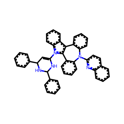 C1=C(n2c3c(c4ccccc42)-c2ccccc2N(c2ccc4ccccc4n2)c2ccccc2-3)NC(c2ccccc2)NC1c1ccccc1